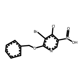 O=[N+](O)c1cnc(OCc2ccccc2)c(Br)c1Cl